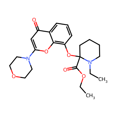 CCOC(=O)C1(Oc2cccc3c(=O)cc(N4CCOCC4)oc23)CCCCN1CC